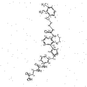 Cc1cccc(OCCCC(=O)N2CCCOc3c(-c4cnn(Cc5cccc(NC(=O)NCCC(=O)O)c5)c4)cccc32)c1C